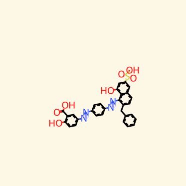 O=C(O)c1cc(/N=N/c2ccc(/N=N/c3c(Cc4ccccc4)ccc4cc(S(=O)(=O)O)cc(O)c34)cc2)ccc1O